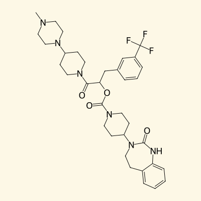 CN1CCN(C2CCN(C(=O)C(Cc3cccc(C(F)(F)F)c3)OC(=O)N3CCC(N4CCc5ccccc5NC4=O)CC3)CC2)CC1